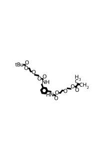 C=C(C)C(=O)OCCOCCOC(=O)NCc1cccc(CNC(=O)OCCOCCOC(=O)C(C)(C)C)c1